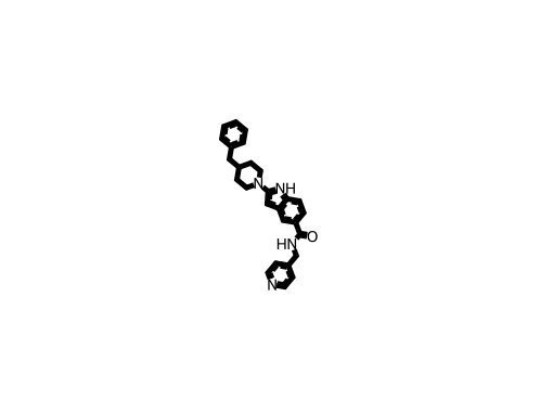 O=C(NCc1ccncc1)c1ccc2[nH]c(N3CCC(Cc4ccccc4)CC3)cc2c1